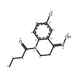 CCCC(=O)N1CC/C(=N/O)c2cc(Cl)ccc21